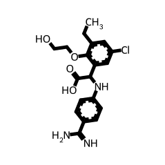 CCc1cc(Cl)cc(C(Nc2ccc(C(=N)N)cc2)C(=O)O)c1OCCO